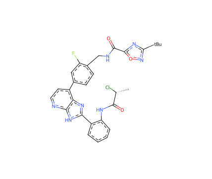 C[C@@H](Cl)C(=O)Nc1ccccc1-c1nc2c(-c3ccc(CNC(=O)c4nc(C(C)(C)C)no4)c(F)c3)ccnc2[nH]1